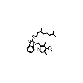 COc1c(C)cnc(Cn2c(SCCC(C)CCC=C(C)C)nc3ccccc32)c1C